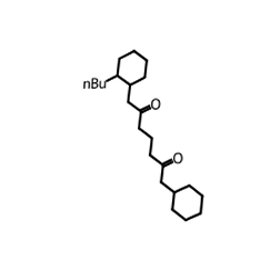 CCCCC1CCCCC1CC(=O)CCCC(=O)CC1CCCCC1